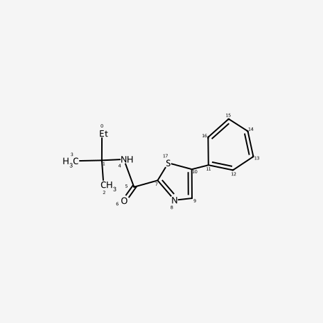 CCC(C)(C)NC(=O)c1ncc(-c2ccccc2)s1